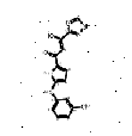 O=C(C=C(O)c1nc[nH]n1)c1ccc(Sc2cccc(Cl)c2)o1